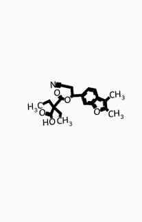 CCC(CC)(C(=O)O)C(=O)OC(CC#N)c1ccc2c(C)c(C)oc2c1